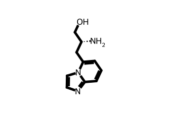 N[C@@H](CO)Cc1cccc2nccn12